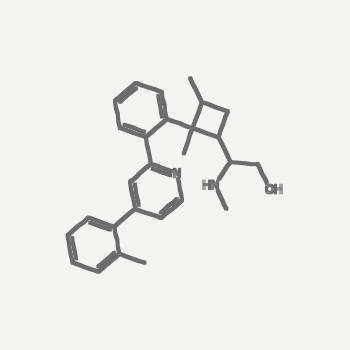 CNC(CO)C1CC(C)C1(C)c1ccccc1-c1cc(-c2ccccc2C)ccn1